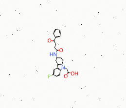 O=C(O)Cn1c2c(c3cc(F)ccc31)CC(NC(=O)CCC(=O)c1ccccc1)CC2